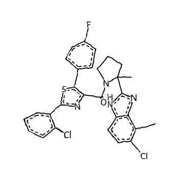 Cc1c(Cl)ccc2[nH]c(C3(C)CCCN3C(=O)c3nc(-c4ccccc4Cl)sc3-c3ccc(F)cc3)nc12